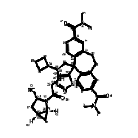 CN(C)C(=O)c1ccc2c(c1)CCc1cc(C(=O)N(C)C)ccc1C2(C[C@@H](NCC(=O)N1C(C#N)C[C@@H]2C[C@@H]21)C1CCC1)c1nnn[nH]1